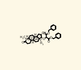 C[C@H]1C[C@H]2[C@@H]3CC[C@H]4N(C)C(=O)CC[C@]4(C)[C@H]3CC[C@]2(C)[C@H]1OC(C(=O)OCc1ccccc1)C(=O)OCc1ccccc1